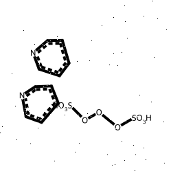 O=S(=O)(O)OOOS(=O)(=O)O.c1ccncc1.c1ccncc1